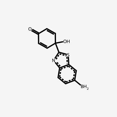 Bc1ccc2nc(C3(O)C=CC(=O)C=C3)sc2c1